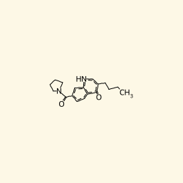 CCCCc1c[nH]c2cc(C(=O)N3CCCC3)ccc2c1=O